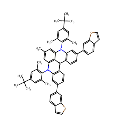 Cc1cc2c3c(c1)N(c1c(C)cc(C(C)(C)C)cc1C)c1cc(-c4ccc5ccsc5c4)ccc1B3c1ccc(-c3ccc4ccsc4c3)cc1N2c1c(C)cc(C(C)(C)C)cc1C